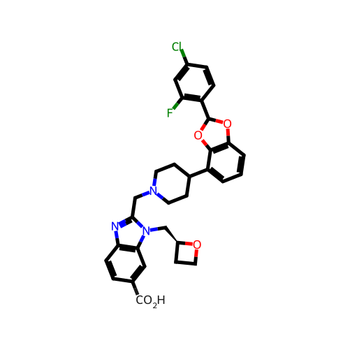 O=C(O)c1ccc2nc(CN3CCC(c4cccc5c4OC(c4ccc(Cl)cc4F)O5)CC3)n(C[C@@H]3CCO3)c2c1